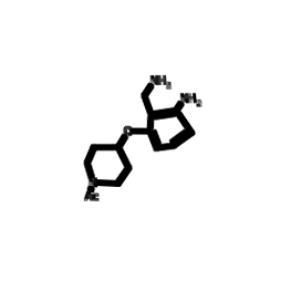 CC(=O)N1CCC(Oc2cccc(N)c2CN)CC1